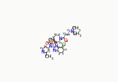 Cc1cc(N(c2nc3cccc(Cl)c3n2C2CCCCN(C(=O)/C=C/CN(C)C)C2)S(C)(=O)=O)ccn1